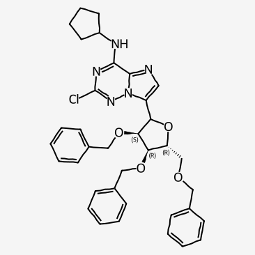 Clc1nc(NC2CCCC2)c2ncc(C3O[C@H](COCc4ccccc4)[C@@H](OCc4ccccc4)[C@H]3OCc3ccccc3)n2n1